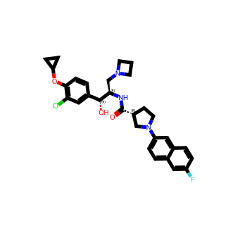 O=C(N[C@H](CN1CCC1)[C@H](O)c1ccc(OC2CC2)c(Cl)c1)[C@@H]1CCN(c2ccc3cc(F)ccc3c2)C1